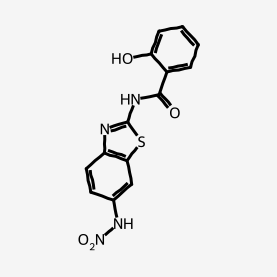 O=C(Nc1nc2ccc(N[N+](=O)[O-])cc2s1)c1ccccc1O